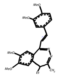 CCC1C(C)=NN=C(/C=C/c2ccc(OC)c(OC)c2)c2cc(OC)c(OC)cc21